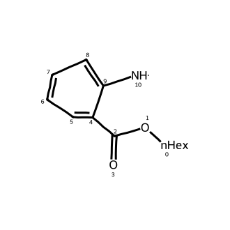 CCCCCCOC(=O)c1ccccc1[NH]